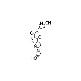 N#Cc1ccc(COC(=O)c2ncc3nc(N4CC[C@@H](O)C4)ccc3c2O)cn1